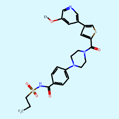 CCOc1cncc(-c2csc(C(=O)N3CCN(c4ccc(C(=O)NS(=O)(=O)CCC(F)(F)F)cc4)CC3)c2)c1